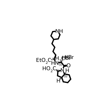 Br.Br.CCOC(=O)[C@H](CCCCC1CCNCC1)N[C@@H](C)C(=O)N1[C@H](C(=O)O)C[C@@H]2CCCC[C@@H]21